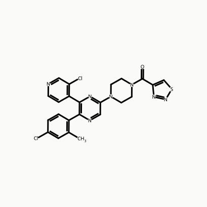 Cc1cc(Cl)ccc1-c1ncc(N2CCN(C(=O)c3csnn3)CC2)nc1-c1ccncc1Cl